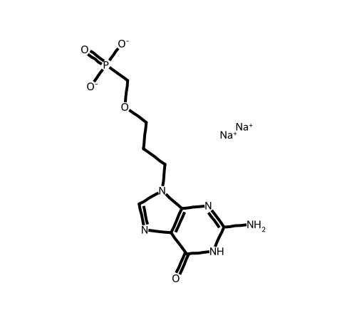 Nc1nc2c(ncn2CCCOCP(=O)([O-])[O-])c(=O)[nH]1.[Na+].[Na+]